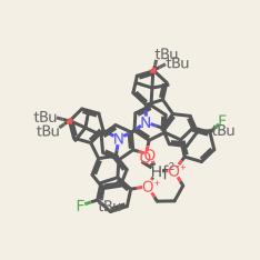 CC(C)(C)CC(C)(C)c1cc2c(c(-n3c4ccc(C(C)(C)C)cc4c4cc(C(C)(C)C)ccc43)c1)[O][Hf-2]13([CH3])([CH3])[O]c4c(cc(C(C)(C)CC(C)(C)C)cc4-n4c5ccc(C(C)(C)C)cc5c5cc(C(C)(C)C)ccc54)-c4cc(F)ccc4[O+]1CCC[O+]3c1ccc(F)cc1-2